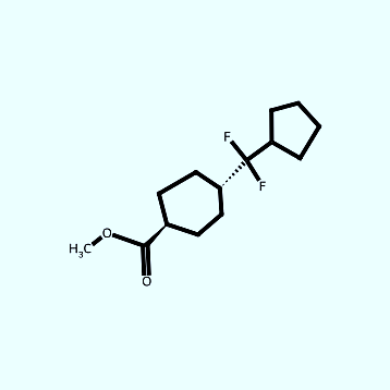 COC(=O)[C@H]1CC[C@H](C(F)(F)C2CCCC2)CC1